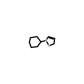 C1=CN(C2CCCCC2)SC1